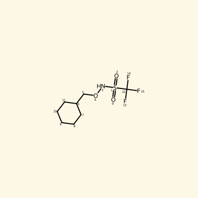 O=S(=O)(NOCC1CCCCC1)C(F)(F)F